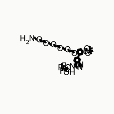 CC1(C)OB(c2ccc(OCCOCCOCCOCCOCCOCCN)c(-c3ccc4c(N)cnnc4c3)c2)OC1(C)C.O=C(O)C(F)(F)F